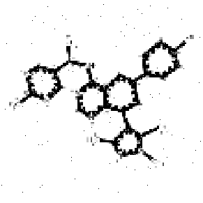 Cc1nn(C)c(C)c1-c1cc(-c2ccc(F)cc2)cc2c(N[C@H](C)c3cnc(C(F)(F)F)nc3)ncnc12